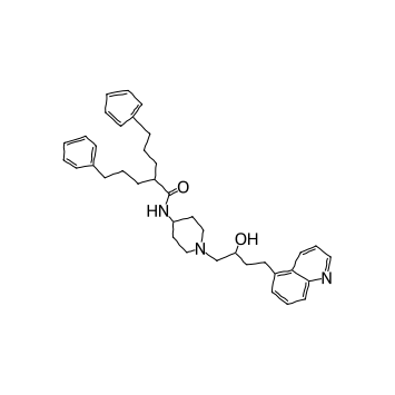 O=C(NC1CCN(CC(O)CCc2cccc3ncccc23)CC1)C(CCCc1ccccc1)CCCc1ccccc1